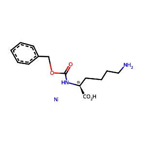 NCCCC[C@H](NC(=O)OCc1ccccc1)C(=O)O.[N]